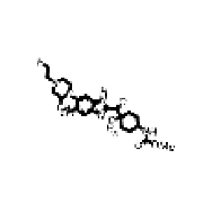 COC(=O)NC1CCC(C)(C(=O)c2nc3cc(Cl)c(N4CCN(CCF)CC4C)cc3[nH]2)CC1